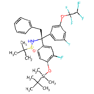 CC(C)(C)[S+]([O-])N[C@](Cc1ccccc1)(c1cc(F)cc(OC(F)(F)C(F)F)c1)c1ccc(O[Si](C)(C)C(C)(C)C)c(F)c1